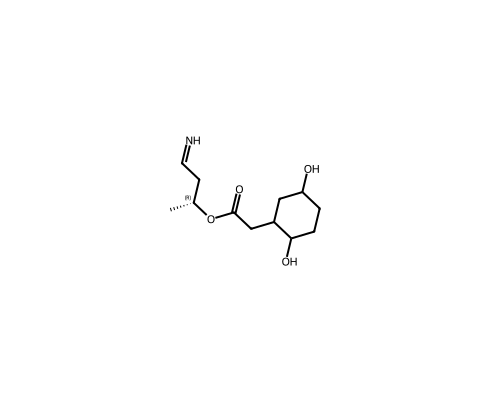 C[C@H](CC=N)OC(=O)CC1CC(O)CCC1O